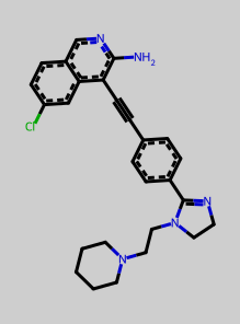 Nc1ncc2ccc(Cl)cc2c1C#Cc1ccc(C2=NCCN2CCN2CCCCC2)cc1